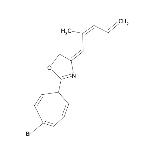 C=C/C=C(C)\C=C1/COC(C2C=CC=C(Br)C=C2)=N1